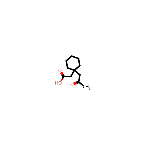 CC(=O)CC1(CC(=O)O)CCCCC1